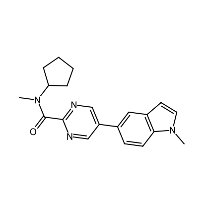 CN(C(=O)c1ncc(-c2ccc3c(ccn3C)c2)cn1)C1CCCC1